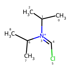 CC(C)[N+](=CCl)C(C)C